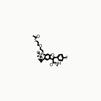 CNC(=O)c1c(-c2ccc(F)cc2)oc2cc(N(CCOCCSC(C)=O)S(C)(=O)=O)c(C3CC3)cc12